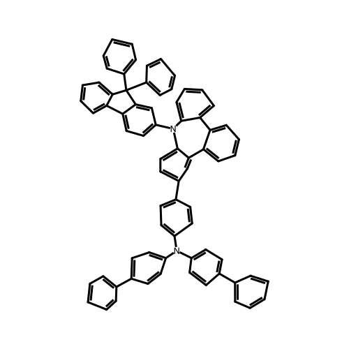 c1ccc(-c2ccc(N(c3ccc(-c4ccccc4)cc3)c3ccc(-c4ccc5c(c4)-c4ccccc4-c4ccccc4N5c4ccc5c(c4)C(c4ccccc4)(c4ccccc4)c4ccccc4-5)cc3)cc2)cc1